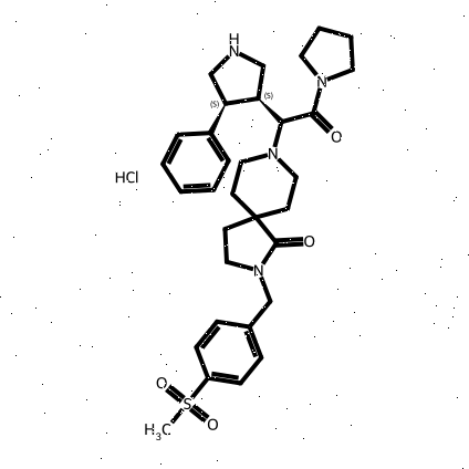 CS(=O)(=O)c1ccc(CN2CCC3(CCN(C(C(=O)N4CCCC4)[C@@H]4CNC[C@@H]4c4ccccc4)CC3)C2=O)cc1.Cl